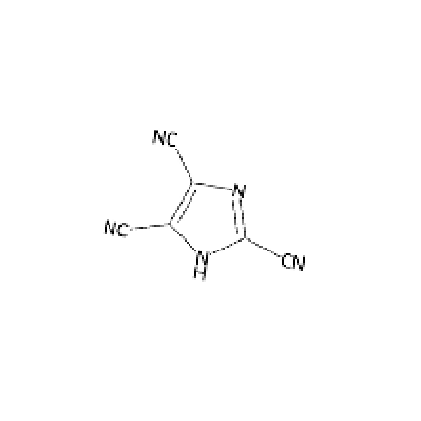 N#Cc1nc(C#N)c(C#N)[nH]1